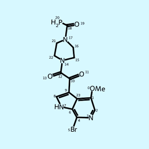 COc1cnc(Br)c2[nH]cc(C(=O)C(=O)N3CCN(C(=O)P)CC3)c12